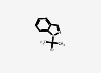 CC(C)(Br)n1ncc2ccccc21